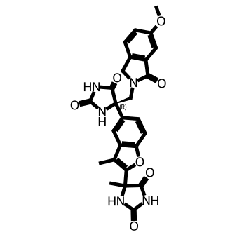 COc1ccc2c(c1)C(=O)N(C[C@@]1(c3ccc4oc(C5(C)NC(=O)NC5=O)c(C)c4c3)NC(=O)NC1=O)C2